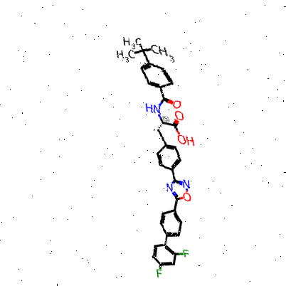 CC(C)(C)c1ccc(C(=O)N[C@@H](Cc2ccc(-c3noc(-c4ccc(-c5ccc(F)cc5F)cc4)n3)cc2)C(=O)O)cc1